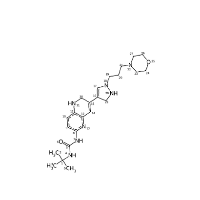 CC(C)(C)NC(=O)Nc1ccc2c(n1)C=C(C1=CN(CCCN3CCOCC3)NC1)CN2